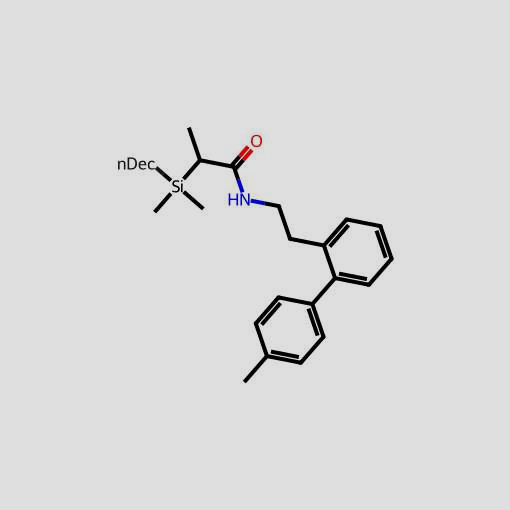 CCCCCCCCCC[Si](C)(C)C(C)C(=O)NCCc1ccccc1-c1ccc(C)cc1